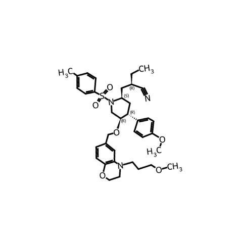 CC[C@@H](C#N)C[C@H]1C[C@H](c2ccc(OC)cc2)[C@@H](OCc2ccc3c(c2)N(CCCOC)CCO3)CN1S(=O)(=O)c1ccc(C)cc1